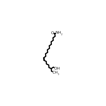 CCC(CO)CCCC/C=C\CCCCCCCCCCCC(N)=O